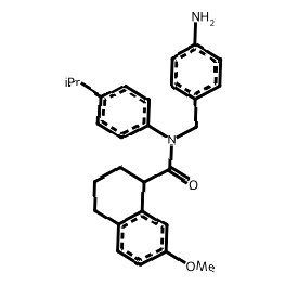 COc1ccc2c(c1)C(C(=O)N(Cc1ccc(N)cc1)c1ccc(C(C)C)cc1)CCC2